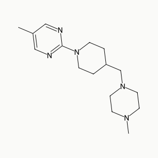 Cc1cnc(N2CCC(CN3CCN(C)CC3)CC2)nc1